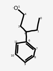 CCC(CC[O])c1ccccc1